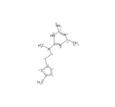 Cc1ccc(CCN(C)C2=NC(C)N=C(N)N2)s1